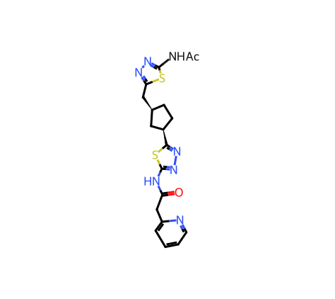 CC(=O)Nc1nnc(C[C@H]2CC[C@@H](c3nnc(NC(=O)Cc4ccccn4)s3)C2)s1